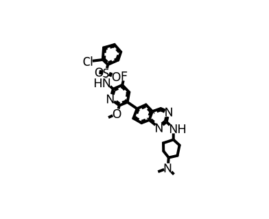 COc1nc(NS(=O)(=O)c2ccccc2Cl)c(F)cc1-c1ccc2nc(NC3CCC(N(C)C)CC3)ncc2c1